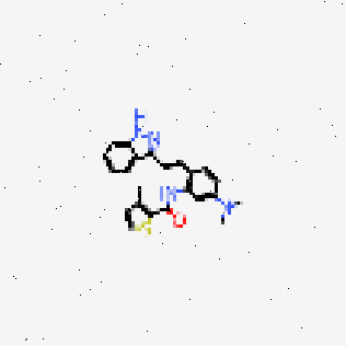 Cc1ccsc1C(=O)Nc1cc(N(C)C)ccc1C=Cc1n[nH]c2ccccc12